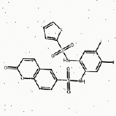 O=c1ccc2cc(S(=O)(=O)Nc3cc(I)c(I)cc3NS(=O)(=O)c3cccs3)ccc2o1